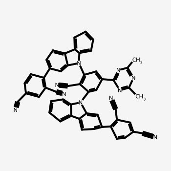 Cc1nc(C)nc(-c2cc(-n3c4ccccc4c4ccc(-c5ccc(C#N)cc5C#N)cc43)c(C#N)c(-n3c4ccccc4c4ccc(-c5ccc(C#N)cc5C#N)cc43)c2)n1